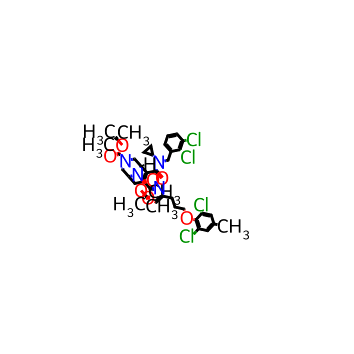 Cc1cc(Cl)c(OCCCc2coc(C3=C(C(=O)N(Cc4cccc(Cl)c4Cl)C4CC4)[C@H]4CN(C(=O)OC(C)(C)C)CC(C3)N4C(=O)OC(C)(C)C)n2)c(Cl)c1